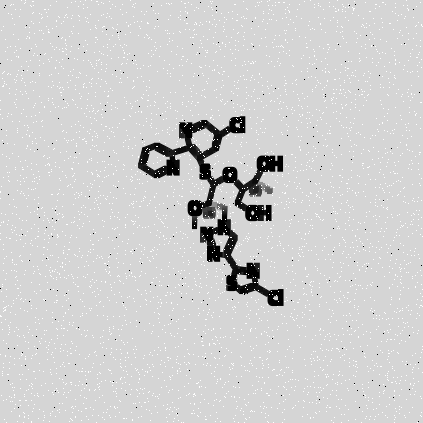 CO[C@@H](Cn1cc(-c2nc(Cl)cs2)nn1)C(OC(CO)[C@@H](C)O)Sc1cc(Cl)cnc1-c1ccccn1